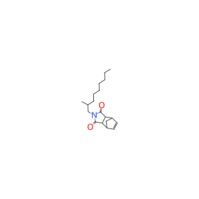 CCCCCCCC(C)CN1C(=O)C2C3C=CC(C3)C2C1=O